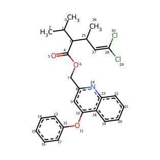 CC(C)C(C(=O)OCc1cc(Oc2ccccc2)c2ccccc2n1)C(C)C=C(Cl)Cl